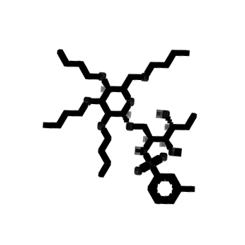 CCCCOCC1O[C@H](OC[C@H](NS(=O)(=O)c2cccc(C)c2)[C@H](O)[C@H](O)CC)C(OCCCC)C(OCCCC)[C@H]1OCCCC